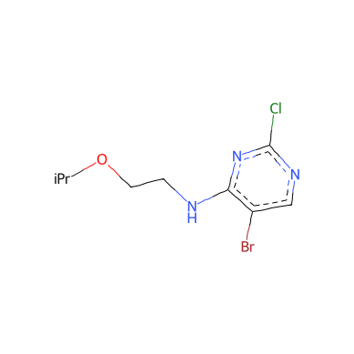 CC(C)OCCNc1nc(Cl)ncc1Br